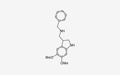 COc1cc2c(cc1OC)C(CNCc1ccccc1)CN2